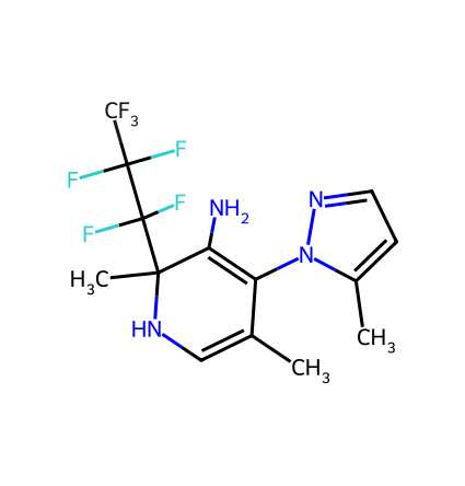 CC1=CNC(C)(C(F)(F)C(F)(F)C(F)(F)F)C(N)=C1n1nccc1C